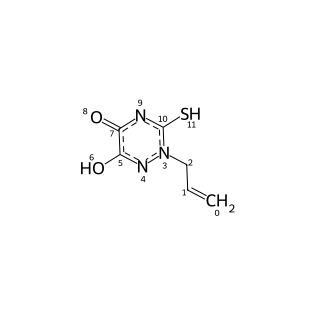 C=CCn1nc(O)c(=O)nc1S